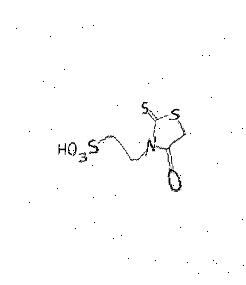 O=C1CSC(=S)N1CCS(=O)(=O)O